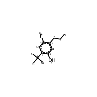 CCCc1cc(O)c(C(C)(C)C)cc1F